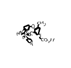 Cc1cc(SCC(=O)O)cc(C)c1Oc1ccc2[nH]cc(S(=O)(=O)c3ccncc3)c2c1